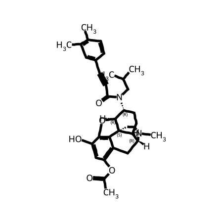 CC(=O)Oc1cc(O)c2c3c1C[C@@H]1[C@@H]4CC[C@@H](N(CC(C)C)C(=O)C#Cc5ccc(C)c(C)c5)[C@H](O2)[C@]34CCN1C